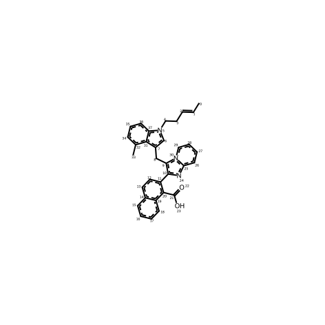 CC=CCCn1cc(Cc2c(-c3ccc4ccccc4c3C(=O)O)nc3ccccn23)c2c(C)cccc21